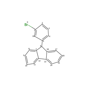 Brc1cccc(C2c3ccccc3-c3ccccc32)c1